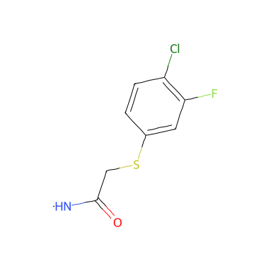 [NH]C(=O)CSc1ccc(Cl)c(F)c1